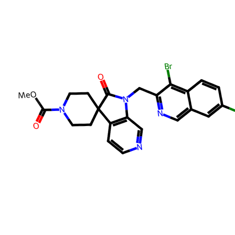 COC(=O)N1CCC2(CC1)C(=O)N(Cc1ncc3cc(Cl)ccc3c1Br)c1cnccc12